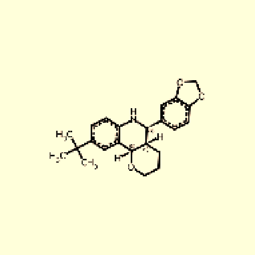 CC(C)(C)c1ccc2c(c1)[C@H]1OCCC[C@H]1[C@H](c1ccc3c(c1)OCO3)N2